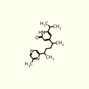 Cc1cncc(C(C)CCC(C)c2cc(C(C)C)[nH]c(=O)c2)n1